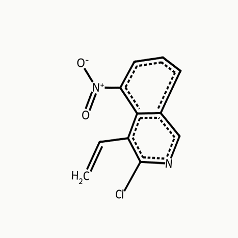 C=Cc1c(Cl)ncc2cccc([N+](=O)[O-])c12